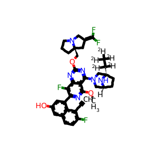 [2H]C([2H])([2H])C([2H])([2H])[C@@]12CC[C@@H](CN(c3nc(OC[C@@]45CCCN4CC(=C(F)F)C5)nc4c(F)c(-c5cc(O)cc6ccc(F)c(C#C)c56)nc(OC)c34)C1)N2